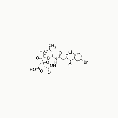 CC(C)CC(NC(=O)CNC(=O)c1cc(Br)ccc1Cl)B1OC(=O)C(CC(=O)O)(CC(=O)O)O1